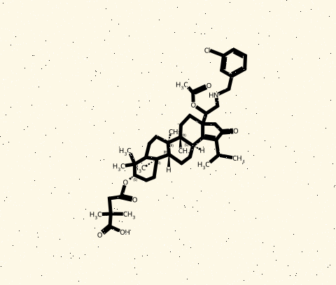 CC(=O)OC(CNCc1cccc(Cl)c1)C12CC[C@]3(C)[C@H](CC[C@@H]4[C@@]5(C)CC[C@H](OC(=O)CC(C)(C)C(=O)O)C(C)(C)C5CC[C@]43C)C1=C(C(C)C)C(=O)C2